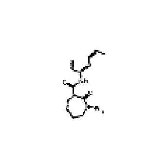 C=C/C(=C\C=C/C)NC(=O)C1CCCCN(P)C1=O